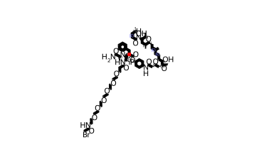 CC(/C=C/C1O[C@@H](CC(=O)NC2CCC(OC(=O)CCc3ccccc3N(C(=O)[C@@H](NC(=O)CCOCCOCCOCCOCCOCCOCCNC(=O)CBr)C(C)C)[C@@H](C)C(N)=O)CC2)C[C@@]2(CO2)[C@@H]1O)=C\C[C@@H]1O[C@H](C)[C@H](NC(=O)/C=C\[C@H](C)O)C[C@@H]1C